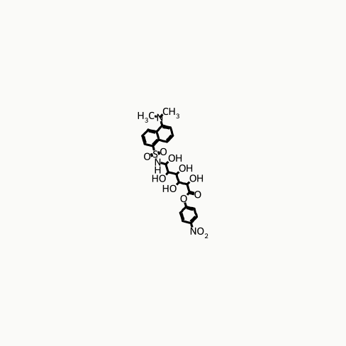 CN(C)c1cccc2c(S(=O)(=O)NC(O)C(O)C(O)C(O)C(O)C(=O)Oc3ccc([N+](=O)[O-])cc3)cccc12